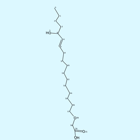 CCCCC(O)C=CCCCCCCCCCCOCC(=O)O